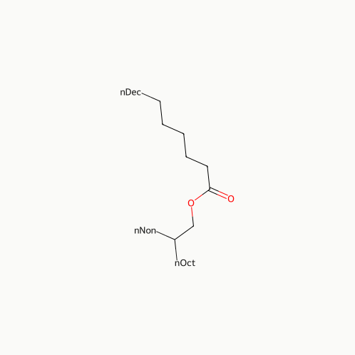 CCCCCCCCCCCCCCCC(=O)OCC(CCCCCCCC)CCCCCCCCC